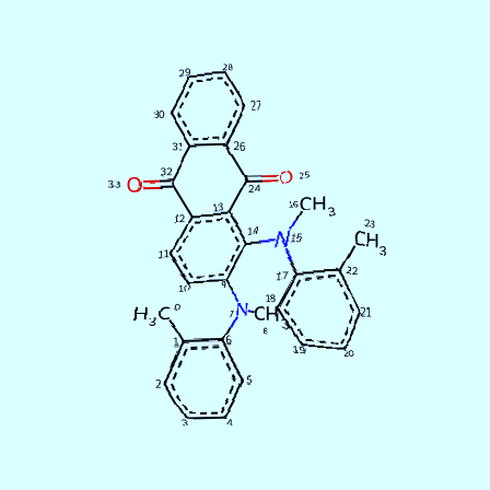 Cc1ccccc1N(C)c1ccc2c(c1N(C)c1ccccc1C)C(=O)c1ccccc1C2=O